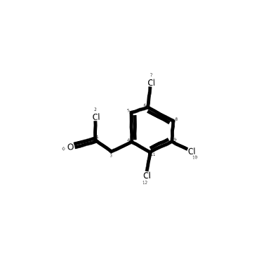 O=C(Cl)Cc1cc(Cl)cc(Cl)c1Cl